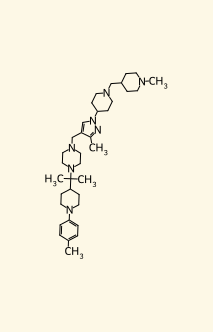 Cc1ccc(N2CCC(C(C)(C)N3CCN(Cc4cn(C5CCN(CC6CCN(C)CC6)CC5)nc4C)CC3)CC2)cc1